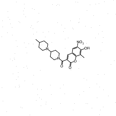 Cc1c(O)c([N+](=O)[O-])cc2cc(C(=O)N3CCC(N4CCC(C)CC4)CC3)c(=O)oc12